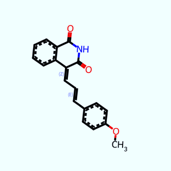 COc1ccc(/C=C/C=C2\C(=O)NC(=O)c3ccccc32)cc1